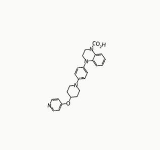 O=C(O)N1CCN(c2ccc(N3CCC(Oc4ccncc4)CC3)cc2)c2ccccc21